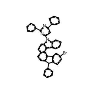 Brc1ccc2c(c1)-c1c(ccc3ccc4c(c5ccccc5n4-c4cc(-c5ccccc5)nc(-c5ccccc5)n4)c13)C2c1ccccc1